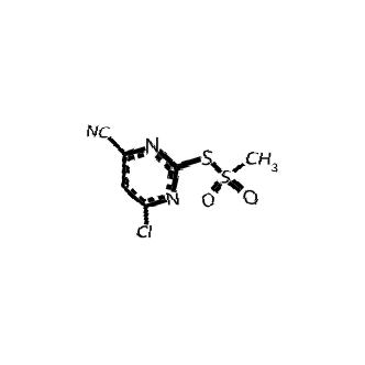 CS(=O)(=O)Sc1nc(Cl)cc(C#N)n1